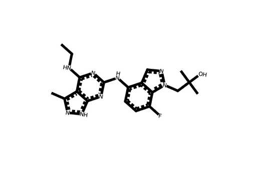 CCNc1nc(Nc2ccc(F)c3c2cnn3CC(C)(C)O)nc2[nH]nc(C)c12